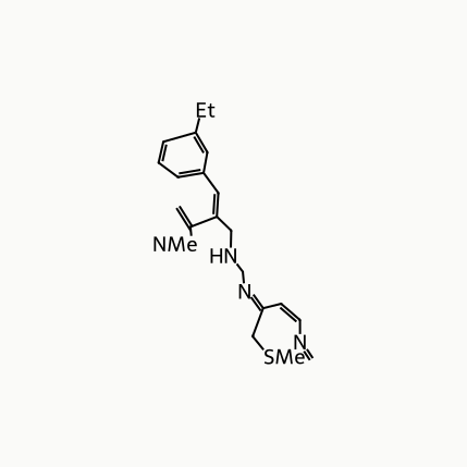 C=N/C=C\C(CSC)=N/CNC/C(=C/c1cccc(CC)c1)C(=C)NC